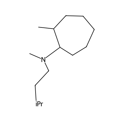 CC(C)CCN(C)C1CCCCCC1C